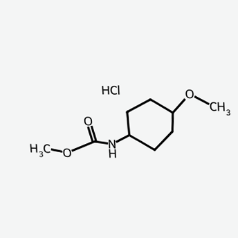 COC(=O)NC1CCC(OC)CC1.Cl